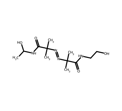 CC(O)NC(=O)C(C)(C)N=NC(C)(C)C(=O)NCCO